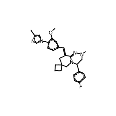 COc1cc(/C=C2\CC3(CCC3)CN3C2=NN(C)CC3c2ccc(F)cc2)ccc1-n1cnc(C)c1